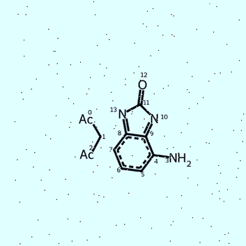 CC(=O)CC(C)=O.Nc1cccc2c1=NC(=O)N=2